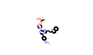 Nc1ccc(-c2cnc(N3CCOCC3)c3nc(CCc4ccc5ccccc5n4)cn23)cc1.O=C(O)C(F)(F)F